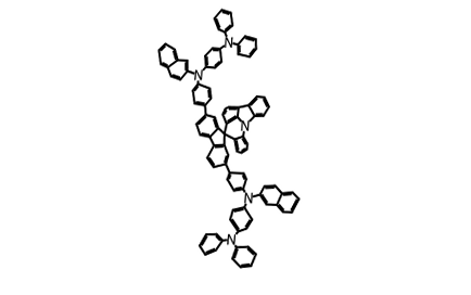 c1ccc(N(c2ccccc2)c2ccc(N(c3ccc(-c4ccc5c(c4)C4(c6cc(-c7ccc(N(c8ccc(N(c9ccccc9)c9ccccc9)cc8)c8ccc9ccccc9c8)cc7)ccc6-5)c5ccccc5-n5c6ccccc6c6cccc4c65)cc3)c3ccc4ccccc4c3)cc2)cc1